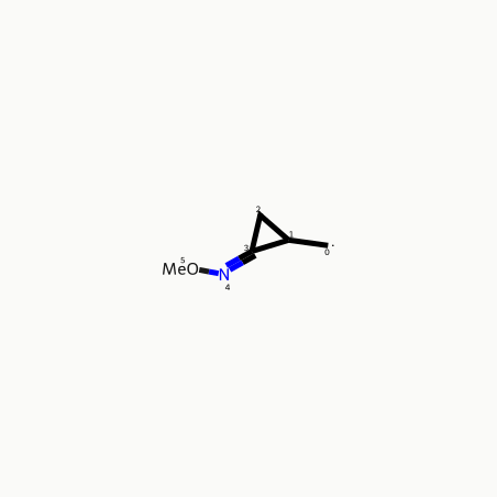 [CH2]C1CC1=NOC